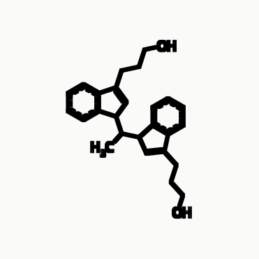 CC(C1C=C(CCCO)c2ccccc21)C1C=C(CCCO)c2ccccc21